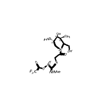 CNC(=NCC(=O)N1C[C@H](O)[C@@H](O)[C@@H](O)C1CO)NOC(=O)C(F)(F)F